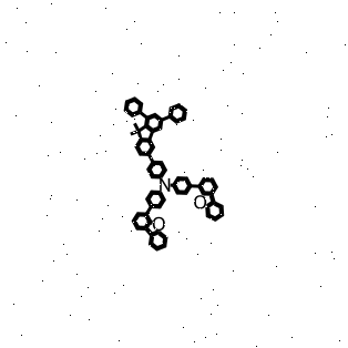 CC1(C)c2ccc(-c3ccc(N(c4ccc(-c5cccc6c5oc5ccccc56)cc4)c4ccc(-c5cccc6c5oc5ccccc56)cc4)cc3)cc2-c2cc(-c3ccccc3)cc(-c3ccccc3)c21